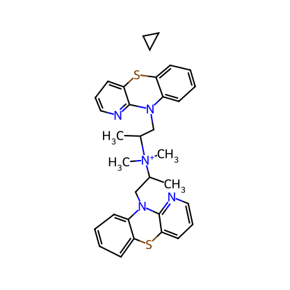 C1CC1.CC(CN1c2ccccc2Sc2cccnc21)[N+](C)(C)C(C)CN1c2ccccc2Sc2cccnc21